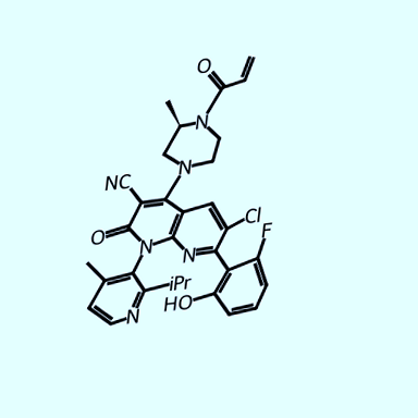 C=CC(=O)N1CCN(c2c(C#N)c(=O)n(-c3c(C)ccnc3C(C)C)c3nc(-c4c(O)cccc4F)c(Cl)cc23)C[C@H]1C